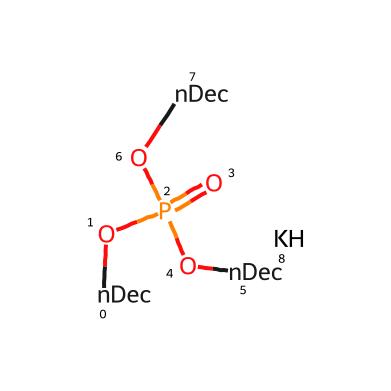 CCCCCCCCCCOP(=O)(OCCCCCCCCCC)OCCCCCCCCCC.[KH]